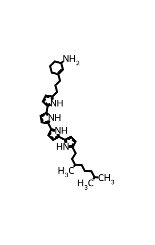 CC(C)CCCC(C)CCc1ccc(-c2ccc(-c3ccc(-c4ccc(CCCC5=CC(N)CCC5)[nH]4)[nH]3)[nH]2)[nH]1